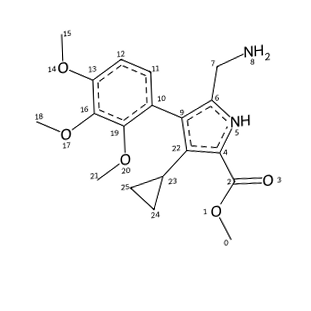 COC(=O)c1[nH]c(CN)c(-c2ccc(OC)c(OC)c2OC)c1C1CC1